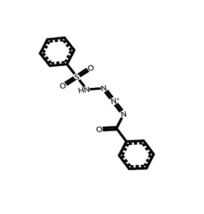 O=C(N=[N+]=NNS(=O)(=O)c1ccccc1)c1ccccc1